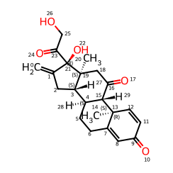 C=C1C[C@H]2[C@@H]3CCC4=CC(=O)C=C[C@]4(C)[C@H]3C(=O)C[C@]2(C)[C@@]1(O)C(=O)CO